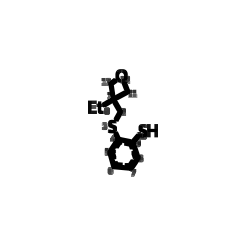 CCC1(CSc2ccccc2S)COC1